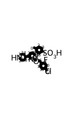 Cc1ccc(S(=O)(=O)O)cc1.Fc1cc(Cl)ccc1COc1nccc(C2CCNCC2)n1